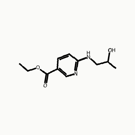 CCOC(=O)c1ccc(NCC(C)O)nc1